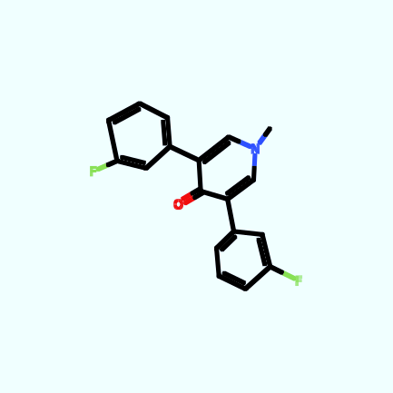 Cn1cc(-c2cccc(F)c2)c(=O)c(-c2cccc(F)c2)c1